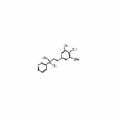 CC(C)(C)c1cc(SC[Si](c2ccccc2)(C(C)(C)C)C(C)(C)C)cc(C(C)(C)C)c1O